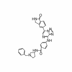 O=C(N[C@H]1CCN(Cc2ccccc2)C1)c1ccc(Nc2ncc(-c3ccc4c(c3)CNC4=O)n3ncnc23)cc1